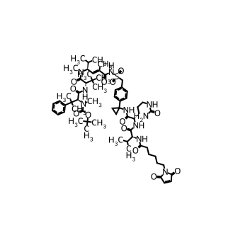 C/C(=C\[C@H](C(C)C)N(C)C(=O)[C@@H](NC(=O)[C@@H](N(C)C(=O)OC(C)(C)C)C(C)(C)c1ccccc1)C(C)(C)C)C(=O)NS(=O)(=O)Cc1ccc(C2(NC(=O)[C@H](CCCNC(N)=O)NC(=O)[C@@H](NC(=O)CCCCCN3C(=O)C=CC3=O)C(C)C)CC2)cc1